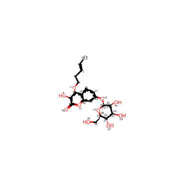 CCC=CCCOc1c(O)c(=O)oc2cc(O[C@@H]3O[C@H](CO)[C@@H](O)[C@H](O)[C@@H]3O)ccc12